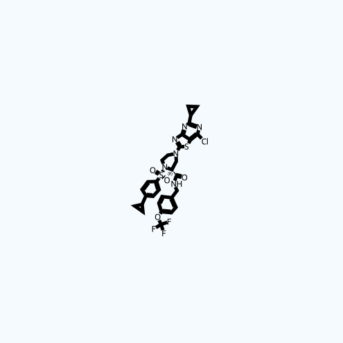 O=C(NCc1ccc(OC(F)(F)F)cc1)[C@H]1CN(c2nc3nc(C4CC4)nc(Cl)c3s2)CCN1S(=O)(=O)c1ccc(C2CC2)cc1